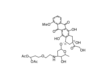 COc1cccc2c1C(=O)c1c(O)c3c(c(O)c1C2=O)C[C@@](O)(C(=O)CO)C[C@@H]3OC1CC(NCCOCCC(OC(C)=O)OC(C)=O)C(O)C(C)O1